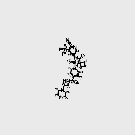 N#Cc1ncc(N2C(=O)C3(CCC3)N(c3ccc(C(=O)NCCN4CCOCC4)c(F)c3)C2=S)cc1C(F)(F)F